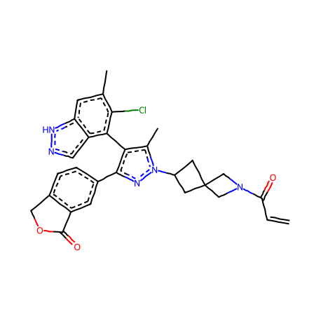 C=CC(=O)N1CC2(CC(n3nc(-c4ccc5c(c4)C(=O)OC5)c(-c4c(Cl)c(C)cc5[nH]ncc45)c3C)C2)C1